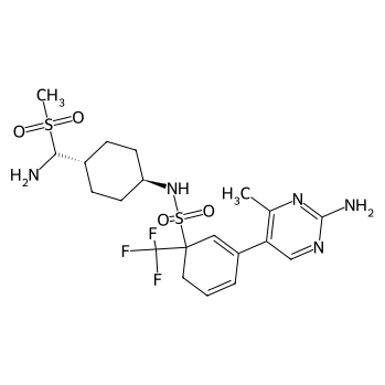 Cc1nc(N)ncc1C1=CC(C(F)(F)F)(S(=O)(=O)N[C@H]2CC[C@H](C(N)S(C)(=O)=O)CC2)CC=C1